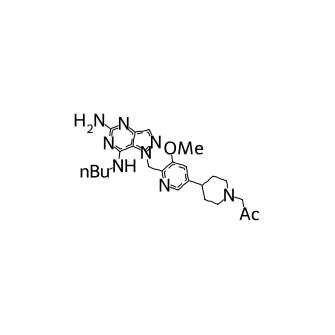 CCCCNc1nc(N)nc2cnn(Cc3ncc(C4CCN(CC(C)=O)CC4)cc3OC)c12